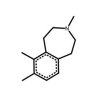 Cc1ccc2c(c1C)CCN(C)CC2